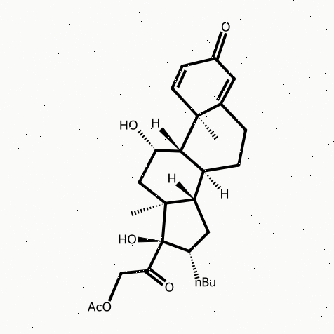 CCCC[C@H]1C[C@H]2[C@@H]3CCC4=CC(=O)C=C[C@]4(C)[C@H]3[C@@H](O)C[C@]2(C)[C@@]1(O)C(=O)COC(C)=O